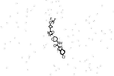 O=C(N[C@@H]1CC[C@@H](c2nnc(C3CC(OC(F)(F)F)C3)o2)OC1)c1nc2cc(Cl)ccc2s1